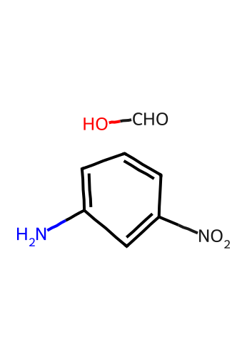 Nc1cccc([N+](=O)[O-])c1.O=CO